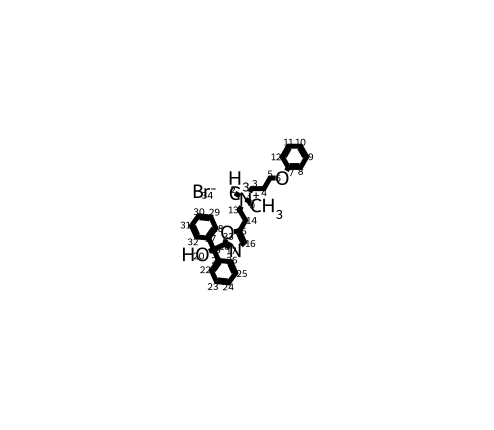 C[N+](C)(CCCOc1ccccc1)CCc1cnc(C(O)(c2ccccc2)c2ccccc2)o1.[Br-]